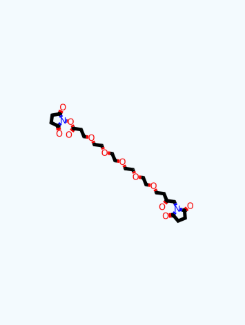 O=C(CCOCCOCCOCCOCCOCCC(=O)ON1C(=O)CCC1=O)CN1C(=O)CCC1=O